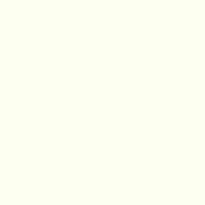 CCCCC([O])CC(I)CI